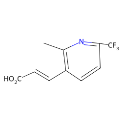 Cc1nc(C(F)(F)F)ccc1/C=C/C(=O)O